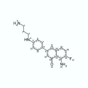 NCCCNc1ccc(-c2cc(=O)c3c(N)c(F)ccc3o2)cc1